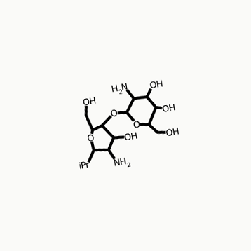 CC(C)C1OC(CO)C(OC2OC(CO)C(O)C(O)C2N)C(O)C1N